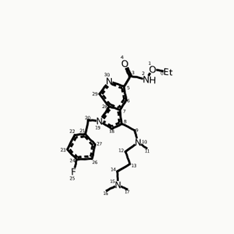 CCONC(=O)c1cc2c(CN(C)CCCN(C)C)cn(Cc3ccc(F)cc3)c2cn1